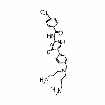 NCCCN(CCCN)Cc1ccc(-c2c[nH]c(NC(=O)c3ccc(Cl)cc3)nc2=O)cc1